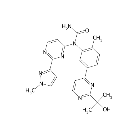 Cc1ccc(-c2ccnc(C(C)(C)O)n2)cc1N(C(N)=O)c1ccnc(-c2ccn(C)n2)n1